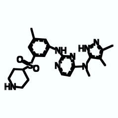 Cc1cc(Nc2nccc(N(C)c3[nH]nc(C)c3C)n2)cc(S(=O)(=O)C2CCNCC2)c1